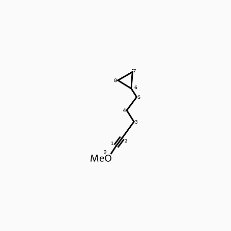 COC#CCCCC1[CH]C1